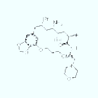 COCCCOc1cc(C[C@@H](C[C@H](N)[C@@H](O)C[C@H](C(=O)NCCN2CCOCC2)C(C)C)C(C)C)cc2c1OCO2